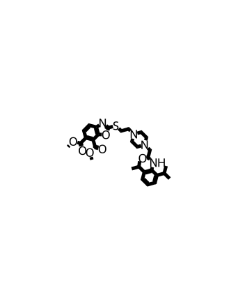 COC(=O)c1ccc2nc(SCCN3CCN(CC(=O)Nc4c(C(C)C)cccc4C(C)C)CC3)oc2c1C(=O)OC